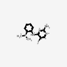 CP(C)c1ccccc1Nc1nc(N)ncc1F